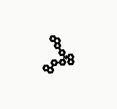 c1cc(-c2cccc(N(c3ccc(-c4ccc5c(ccc6ccccc65)c4)cc3)c3cccc4ccccc34)c2)cc(-c2cccc3ccccc23)c1